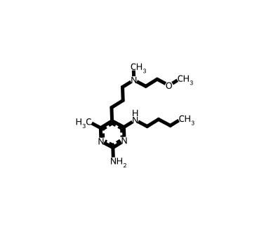 CCCCNc1nc(N)nc(C)c1CCCN(C)CCOC